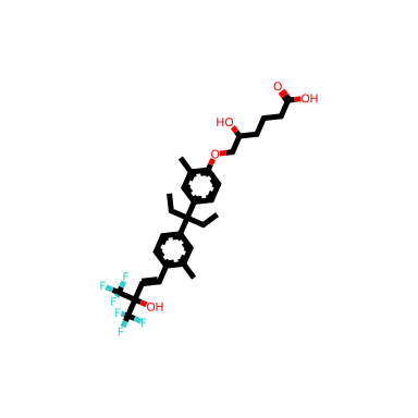 CCC(CC)(c1ccc(C=CC(O)(C(F)(F)F)C(F)(F)F)c(C)c1)c1ccc(OCC(O)CCCC(=O)O)c(C)c1